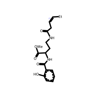 CC/C=C\CC(=O)NCCC(NC(=O)c1ccccc1O)C(=O)OC